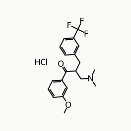 COc1cccc(C(=O)C(Cc2cccc(C(F)(F)F)c2)CN(C)C)c1.Cl